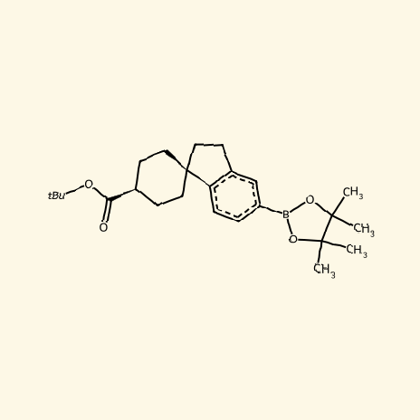 CC(C)(C)OC(=O)[C@H]1CC[C@]2(CCc3cc(B4OC(C)(C)C(C)(C)O4)ccc32)CC1